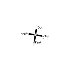 CCCCCCCC[N+](CCCCC)(CCCCC)CCCCCCCC.[I-]